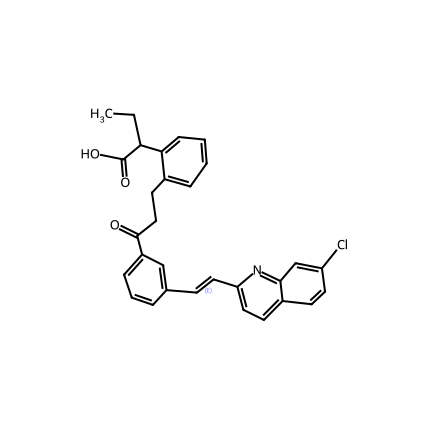 CCC(C(=O)O)c1ccccc1CCC(=O)c1cccc(/C=C/c2ccc3ccc(Cl)cc3n2)c1